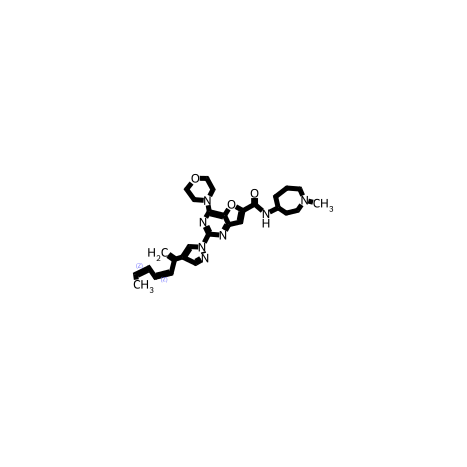 C=C(/C=C\C=C/C)c1cnn(-c2nc(N3CCOCC3)c3oc(C(=O)NC4CCCN(C)CC4)cc3n2)c1